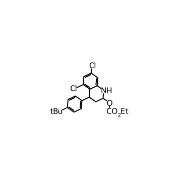 CCOC(=O)OC1CC(c2ccc(C(C)(C)C)cc2)c2c(Cl)cc(Cl)cc2N1